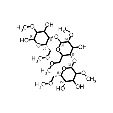 COCC1O[C@@H](O[C@H]2C(O)C(OC)[C@H](O)O[C@H]2COC)[C@@H](OC)C(O)[C@@H]1O[C@@H]1O[C@@H](COC)[C@@H](O)C(O)C1OC